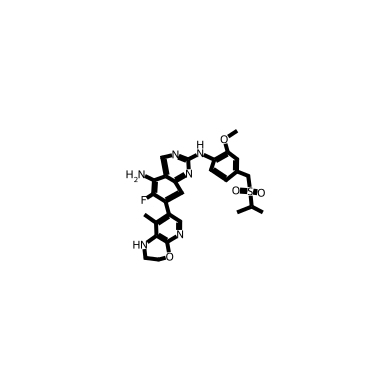 COc1cc(CS(=O)(=O)C(C)C)ccc1Nc1ncc2c(N)c(F)c(-c3cnc4c(c3C)NCCO4)cc2n1